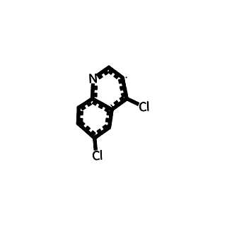 Clc1ccc2nc[c]c(Cl)c2c1